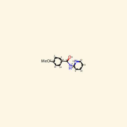 COc1[c]cc(C(=O)Nc2ccccn2)cc1